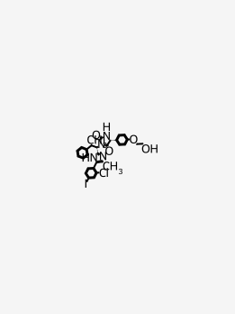 Cc1nc([C@H]([C@@H](C)c2ccccc2)N2C(=O)N[C@H](c3ccc(OCCO)cc3)C2=O)[nH]c1-c1ccc(I)cc1Cl